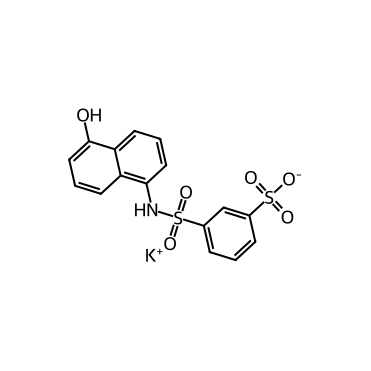 O=S(=O)([O-])c1cccc(S(=O)(=O)Nc2cccc3c(O)cccc23)c1.[K+]